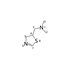 CN(C)CC1CN=CS1